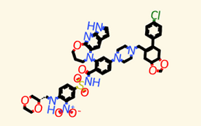 O=C(NS(=O)(=O)c1ccc(NC[C@H]2COCCO2)c([N+](=O)[O-])c1)c1ccc(N2CCN(CC3=C(c4ccc(Cl)cc4)CC4OCOC4C3)CC2)cc1N1CCCOc2nc3[nH]ccc3cc21